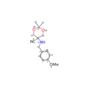 COc1ccc(CNC2(C#N)COC(C)(C)OC2)cc1